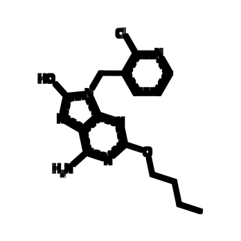 CCCCOc1nc(N)c2nc(O)n(Cc3cccnc3Cl)c2n1